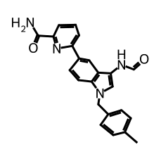 Cc1ccc(Cn2cc(NC=O)c3cc(-c4cccc(C(N)=O)n4)ccc32)cc1